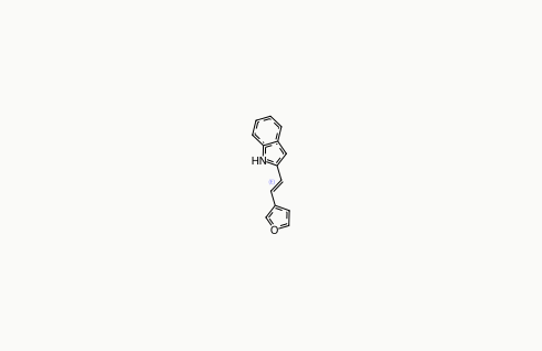 C(=C\c1cc2ccccc2[nH]1)/c1ccoc1